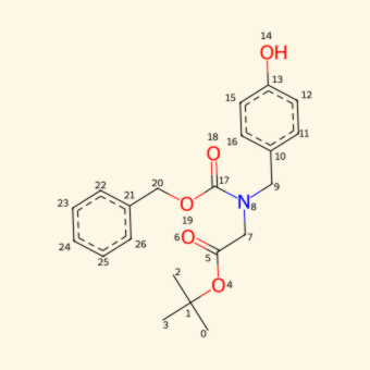 CC(C)(C)OC(=O)CN(Cc1ccc(O)cc1)C(=O)OCc1ccccc1